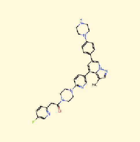 N#Cc1cnn2cc(-c3ccc(N4CCNCC4)cc3)cc(-c3ccc(N4CCN(C(=O)Cc5ccc(F)cn5)CC4)nc3)c12